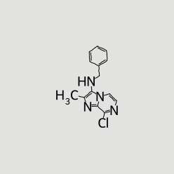 Cc1nc2c(Cl)nccn2c1NCc1ccccc1